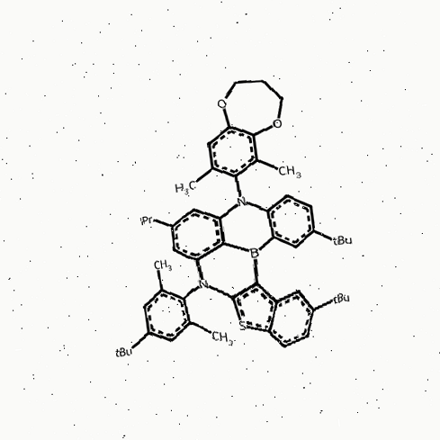 Cc1cc(C(C)(C)C)cc(C)c1N1c2cc(C(C)C)cc3c2B(c2cc(C(C)(C)C)ccc2N3c2c(C)cc3c(c2C)OCCCO3)c2c1sc1ccc(C(C)(C)C)cc21